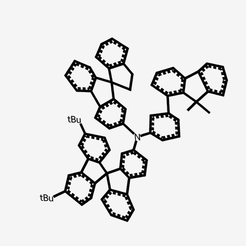 CC(C)(C)c1ccc2c(c1)-c1cc(C(C)(C)C)ccc1C21c2ccccc2-c2ccc(N(c3cccc(-c4cccc5c4C(C)(C)c4ccccc4-5)c3)c3ccc4c(c3)C3(CCc5ccccc53)c3ccccc3-4)cc21